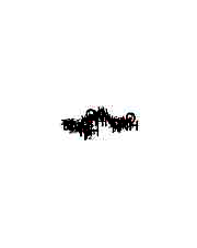 CC(=O)c1cc2cc(NCc3cccc(NC(=O)c4ccc(CN5CCN(C)CC5)c(C(F)(F)F)c4)c3)cnc2[nH]1